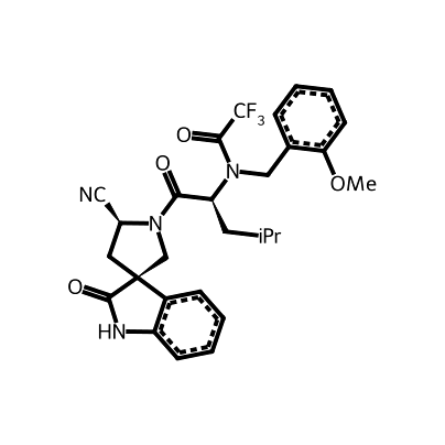 COc1ccccc1CN(C(=O)C(F)(F)F)[C@@H](CC(C)C)C(=O)N1C[C@]2(C[C@H]1C#N)C(=O)Nc1ccccc12